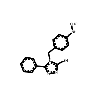 O=CNc1ccc(Cn2c(S)nnc2-c2ccccc2)cc1